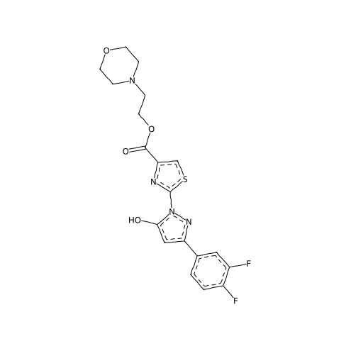 O=C(OCCN1CCOCC1)c1csc(-n2nc(-c3ccc(F)c(F)c3)cc2O)n1